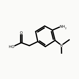 CN(C)c1cc(CC(=O)O)ccc1N